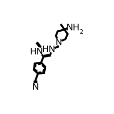 C=CN/C(=C\NCN1CCC(C)(N)CC1)c1ccc(C#N)cc1